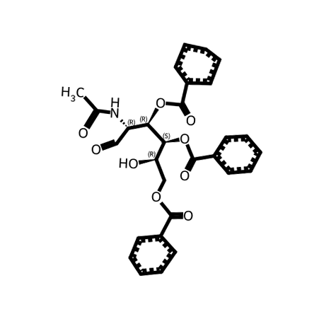 CC(=O)N[C@@H](C=O)[C@@H](OC(=O)c1ccccc1)[C@@H](OC(=O)c1ccccc1)[C@H](O)COC(=O)c1ccccc1